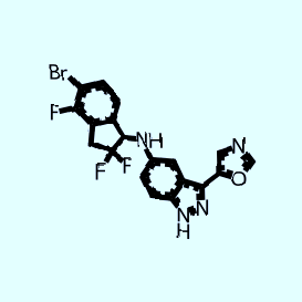 Fc1c(Br)ccc2c1CC(F)(F)C2Nc1ccc2[nH]nc(-c3cnco3)c2c1